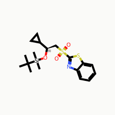 CC(C)(C)[Si](C)(C)O[C@H](CS(=O)(=O)c1nc2ccccc2s1)C1CC1